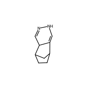 C1=NNC=C2C3CCC(C3)C12